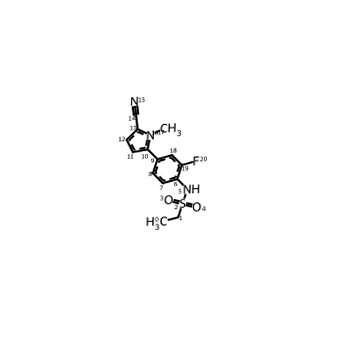 CCS(=O)(=O)Nc1ccc(-c2ccc(C#N)n2C)cc1F